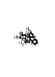 Cc1cccc2c1N(CC(=O)OC(C)(C)C)C(=O)C(N)N=C2c1ccccc1F